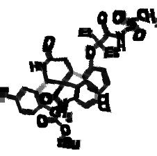 CCC(CC)(Oc1ccc(Cl)cc1[C@H]1CC(=O)N[C@@H](c2cc(F)ccc2C)[C@]12C(=O)N(C(=O)OC(C)(C)C)c1cc(Cl)ccc12)C(=O)NS(C)(=O)=O